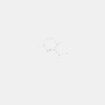 CCC(CC)c1cc(Cl)ccc1Br